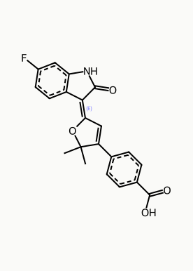 CC1(C)O/C(=C2/C(=O)Nc3cc(F)ccc32)C=C1c1ccc(C(=O)O)cc1